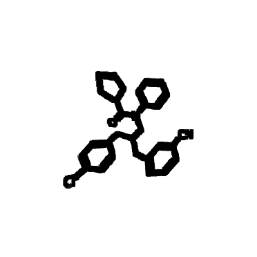 N#Cc1cccc(CC(Cc2ccc(Cl)cc2)CN(C(=O)C2CCCC2)c2ccccc2)c1